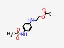 CC(=O)OCCNc1ccc(NS(C)(=O)=O)cc1